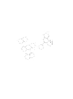 c1cc(-c2ccc3c(-c4cccc5ccccc45)c4ccccc4c(-c4cccc5ccccc45)c3c2)cc(-c2cc3ccccc3c3ncccc23)c1